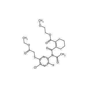 CCOC(=O)CSc1cc(N(C(C)=O)C(=O)C2=C(C(=O)OCCOC)CCCC2)c(F)cc1Cl